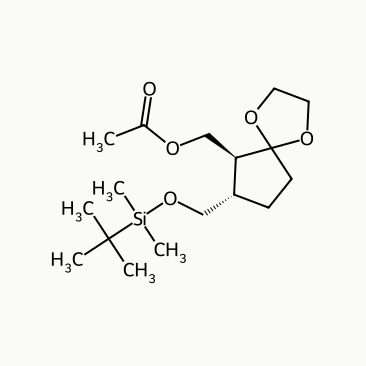 CC(=O)OC[C@@H]1[C@@H](CO[Si](C)(C)C(C)(C)C)CCC12OCCO2